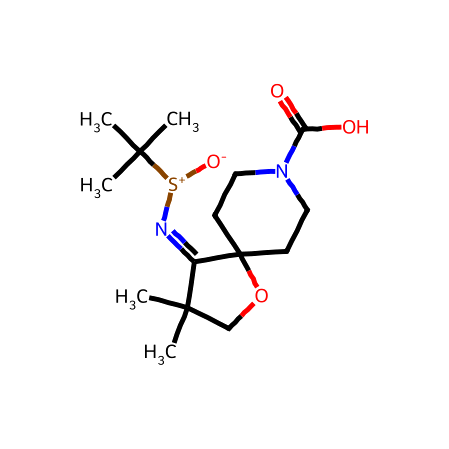 CC1(C)COC2(CCN(C(=O)O)CC2)/C1=N\[S+]([O-])C(C)(C)C